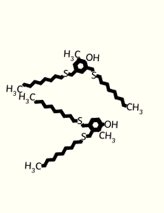 CCCCCCCCCCSCc1ccc(O)c(C)c1CSCCCCCCCCCC.CCCCCCCCCSCc1cc(C)c(O)c(CSCCCCCCCCC)c1